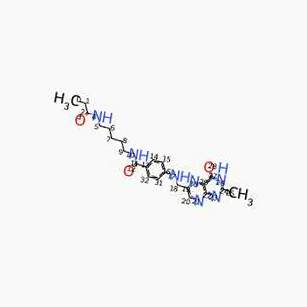 CCC(=O)NCCCCCNC(=O)c1ccc(NCc2cnc3nc(C)[nH]c(=O)c3n2)cc1